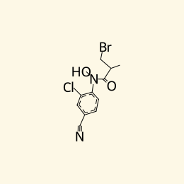 CC(CBr)C(=O)N(O)c1ccc(C#N)cc1Cl